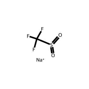 O=[S-](=O)C(F)(F)F.[Na+]